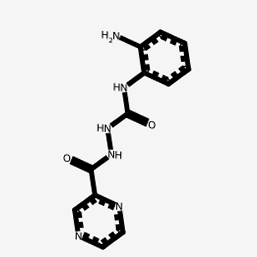 Nc1ccccc1NC(=O)NNC(=O)c1cnccn1